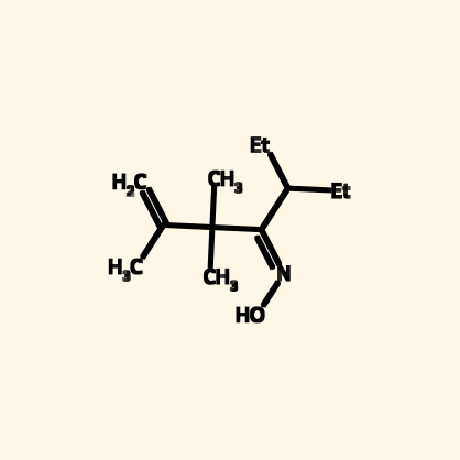 C=C(C)C(C)(C)/C(=N\O)C(CC)CC